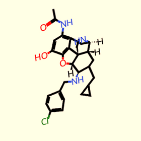 CC(=O)Nc1cc(O)c2c3c1C[C@H]1NCC[C@]34[C@H]1CC(CC1CC1)[C@@H](NCc1ccc(Cl)cc1)[C@@H]4O2